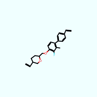 C=Cc1ccc(-c2ccc(OCC3CCC(C=C)CO3)c(F)c2C)cc1